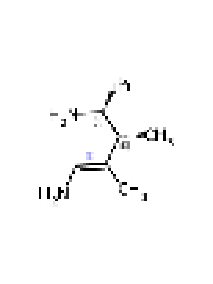 C/C(=C\N)[C@@H](C)[C@@H](N)C(C)C